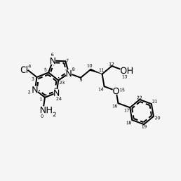 Nc1nc(Cl)c2ncn(CC[C@@H](CO)COCc3ccccc3)c2n1